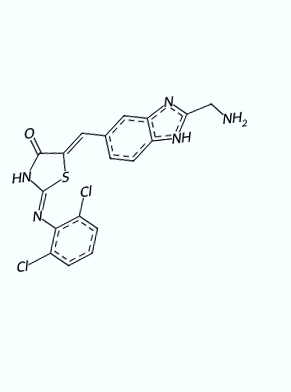 NCc1nc2cc(/C=C3\S/C(=N\c4c(Cl)cccc4Cl)NC3=O)ccc2[nH]1